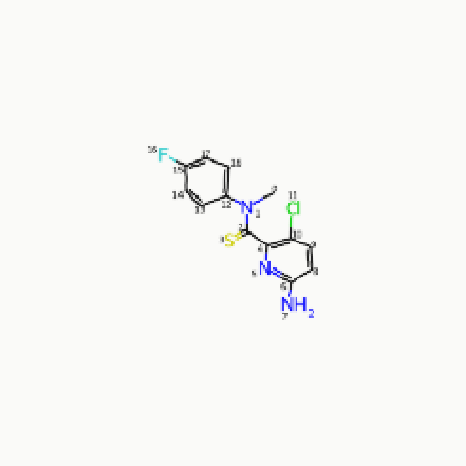 CN(C(=S)c1nc(N)ccc1Cl)c1ccc(F)cc1